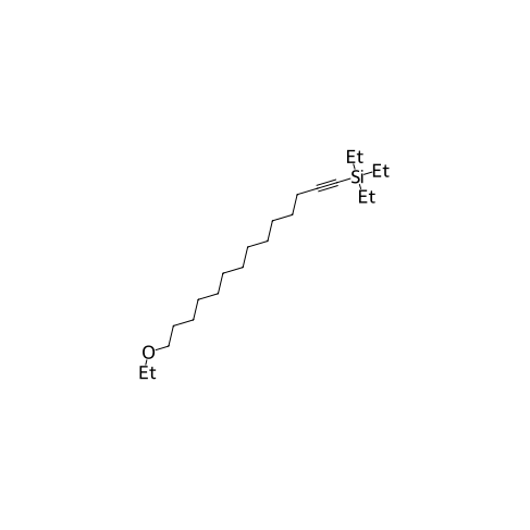 CCOCCCCCCCCCCCCC#C[Si](CC)(CC)CC